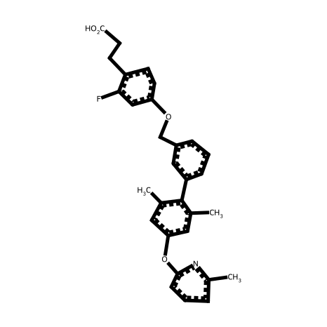 Cc1cccc(Oc2cc(C)c(-c3cccc(COc4ccc(CCC(=O)O)c(F)c4)c3)c(C)c2)n1